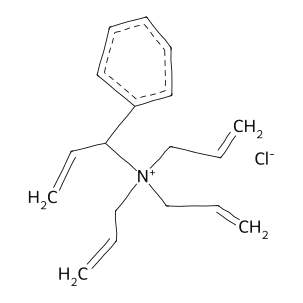 C=CC[N+](CC=C)(CC=C)C(C=C)c1ccccc1.[Cl-]